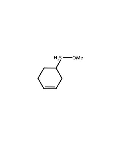 CO[SiH2]C1CC=CCC1